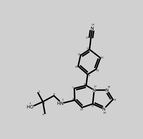 CC(C)(O)CNc1cc(-c2ccc(C#N)cc2)n2ncnc2c1